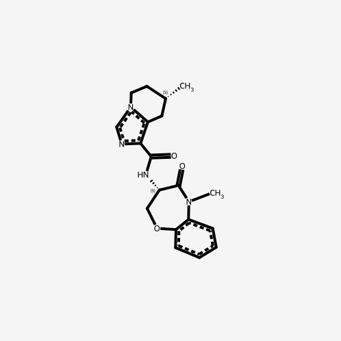 C[C@H]1CCn2cnc(C(=O)N[C@H]3COc4ccccc4N(C)C3=O)c2C1